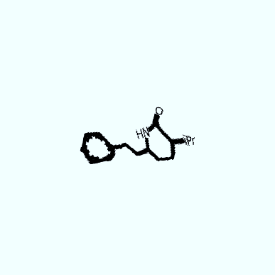 CC(C)C1CCC(CCc2ccccc2)NC1=O